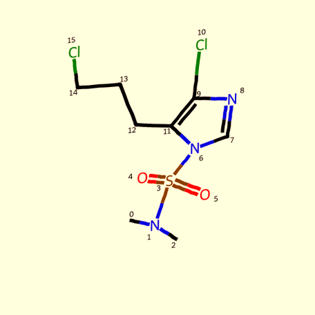 CN(C)S(=O)(=O)n1cnc(Cl)c1CCCCl